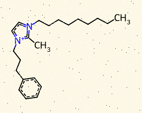 CCCCCCCCCn1cc[n+](CCCc2ccccc2)c1C